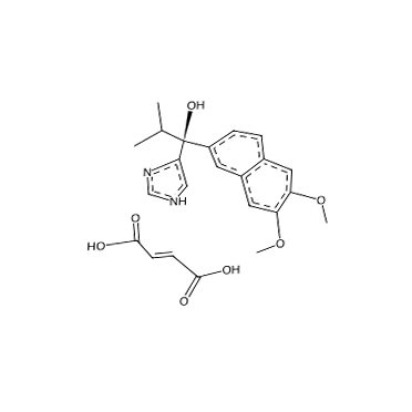 COc1cc2ccc([C@](O)(c3c[nH]cn3)C(C)C)cc2cc1OC.O=C(O)C=CC(=O)O